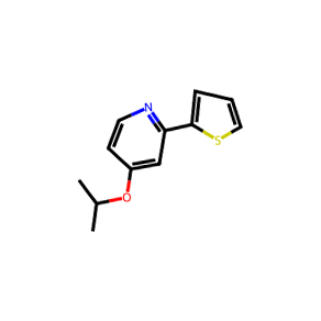 CC(C)Oc1ccnc(-c2cccs2)c1